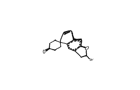 O=C1CCC2(C=Cc3cc4c(cc32)CC(Br)O4)CC1